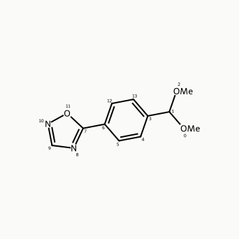 COC(OC)c1ccc(-c2ncno2)cc1